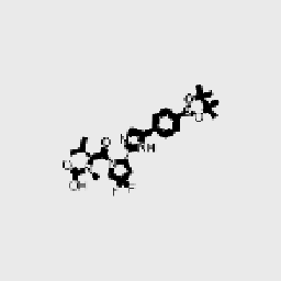 CC(C)[C@@H](C(=O)N1CC(F)(F)C[C@H]1c1ncc(-c2ccc(B3OC(C)(C)C(C)(C)O3)cc2)[nH]1)N(C)C(=O)O